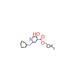 CCOC(=O)c1cc(Cc2ccccc2)ncc1O